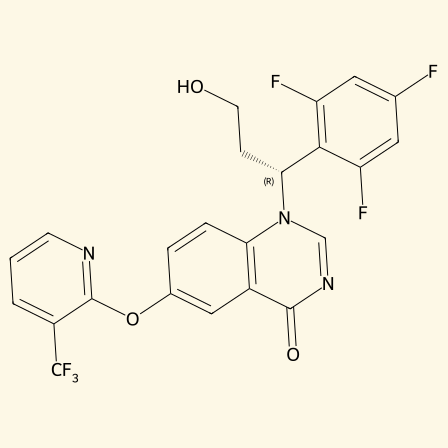 O=c1ncn([C@H](CCO)c2c(F)cc(F)cc2F)c2ccc(Oc3ncccc3C(F)(F)F)cc12